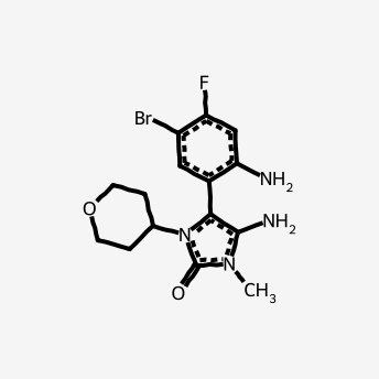 Cn1c(N)c(-c2cc(Br)c(F)cc2N)n(C2CCOCC2)c1=O